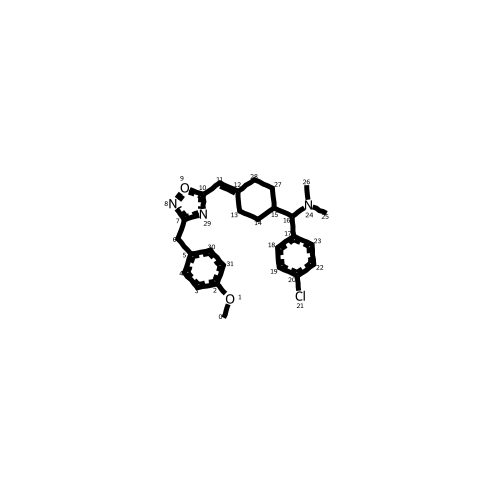 COc1ccc(Cc2noc(C=C3CCC(C(c4ccc(Cl)cc4)N(C)C)CC3)n2)cc1